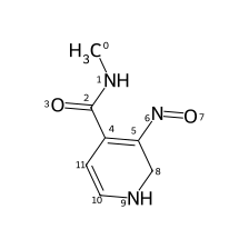 CNC(=O)C1=C(N=O)CNC=C1